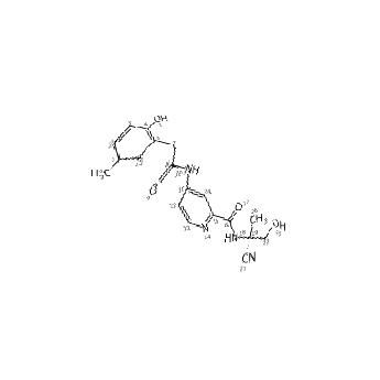 CC1C=CC(O)=C(CC(=O)Nc2ccnc(C(=O)N[C@](C)(C#N)CO)c2)C1